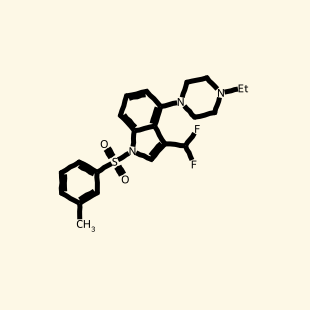 CCN1CCN(c2cccc3c2c(C(F)F)cn3S(=O)(=O)c2cccc(C)c2)CC1